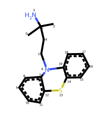 CC(C)(N)CCN1c2ccccc2Sc2ccccc21